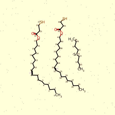 CCCCCCCC/C=C\CCCCCCCCOC(=O)CCS.CCCCCCCC/C=C\CCCCCCCCOC(=O)CCS.CCC[CH2][Sn][CH2]CCC